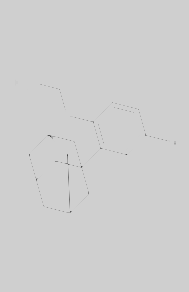 O=C(O)COc1ccc(Br)cc1C12CC3CC(CC(C3)C1)C2